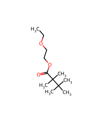 CCOCCOC(=O)C(C)(C)C(C)(C)C